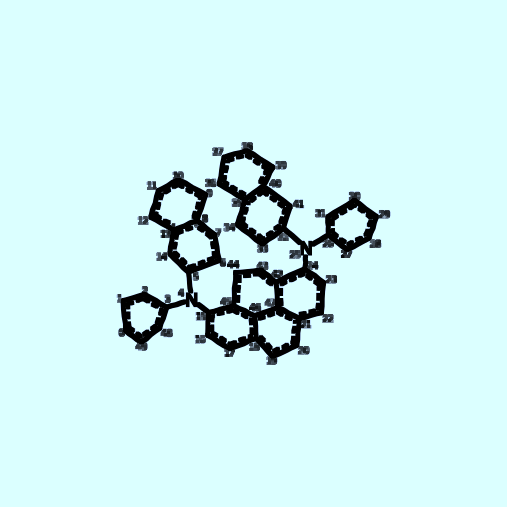 c1ccc(N(c2ccc3ccccc3c2)c2ccc3ccc4ccc(N(c5ccccc5)c5ccc6ccccc6c5)c5ccc2c3c45)cc1